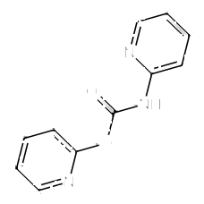 O=C(Nc1ccccn1)Oc1ccccn1